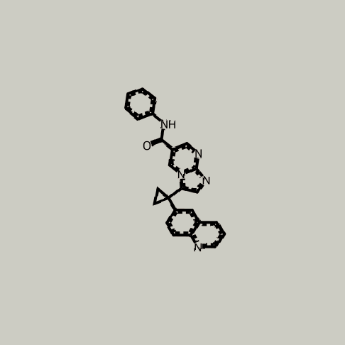 O=C(Nc1ccccc1)c1cnc2ncc(C3(c4ccc5ncccc5c4)CC3)n2c1